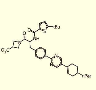 CCCCCC1CC=C(c2cnc(-c3ccc(C[C@H](NC(=O)c4ccc(C(C)(C)C)s4)C(=O)N4CC(C(=O)O)C4)cc3)nc2)CC1